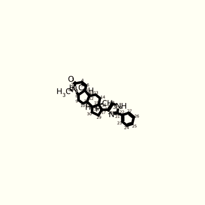 CN1C(=O)C=C[C@@]2(C)C1CC[C@@H]1[C@H]2CC[C@]2(C)C(c3c[nH]c(-c4ccccc4)n3)CC[C@@H]12